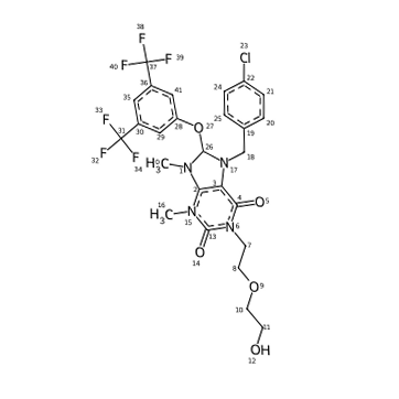 CN1c2c(c(=O)n(CCOCCO)c(=O)n2C)N(Cc2ccc(Cl)cc2)C1Oc1cc(C(F)(F)F)cc(C(F)(F)F)c1